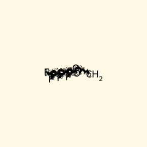 C=CCCC1COC(c2ccc(-c3ccc(-c4ccc(CF)c(F)c4)c(F)c3)c(F)c2)OC1